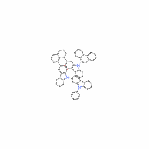 c1ccc(-n2c3ccccc3c3ccc(-n4c5ccccc5c5cc(-c6cccc7cccc(-c8ccc9c%10ccccc%10n(-c%10cc%11ccccc%11c%11ccccc%10%11)c9c8)c67)ccc54)cc32)cc1